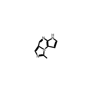 Cc1ncc2cnc3[nH]ccc3n12